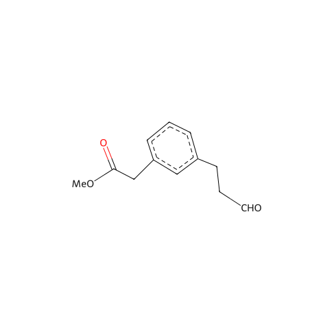 COC(=O)Cc1cccc(CCC=O)c1